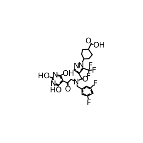 O=C(CN(Cc1cc(F)cc(F)c1)C(=O)c1cnn(C2CCC(C(=O)O)CC2)c1C(F)(F)F)c1c(O)nc(O)nc1O